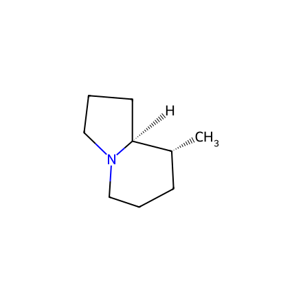 C[C@@H]1CCCN2CCC[C@@H]12